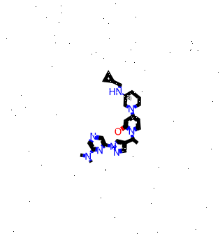 CC(c1cnn(-c2cncc(N(C)C)n2)c1)n1ccc(N2CCC[C@@H](NCC3CC3)C2)cc1=O